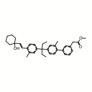 CCC(CC)(c1ccc(C=CC2(O)CCCCC2)c(C)c1)c1ccc(-c2cccc(CC(=O)OC)c2)c(C)c1